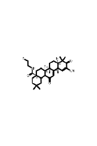 CC1(C)CC[C@]2(C(=O)NCCF)CC[C@]3(C)C(C(=O)C=C4[C@@]5(C)C=C(C#N)C(=O)C(C)(C)[C@@H]5CC[C@]43C)C2C1